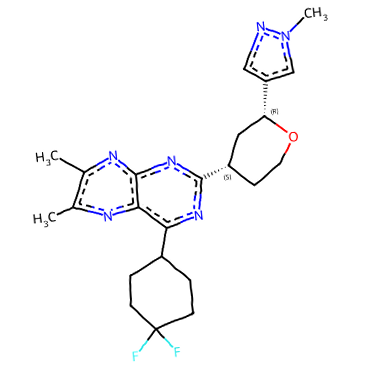 Cc1nc2nc([C@H]3CCO[C@@H](c4cnn(C)c4)C3)nc(C3CCC(F)(F)CC3)c2nc1C